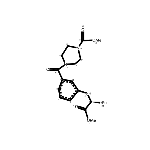 COC(=O)[C@@H](Nc1cccc(C(=O)N2CCN(C(=O)OC)CC2)c1)C(C)(C)C